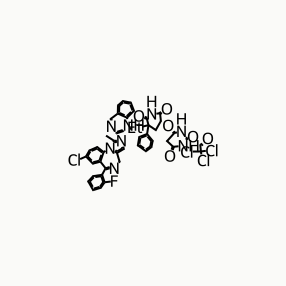 C1=CNc2ccccc2C=N1.CCC1(c2ccccc2)CCC(=O)NC1=O.Cc1ncc2n1-c1ccc(Cl)cc1C(c1ccccc1F)=NC2.O=C1CC(=O)NC(=O)N1.O=CC(Cl)(Cl)Cl